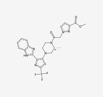 COC(=O)c1ccn(CC(=O)N2CCN(c3sc(C(F)(F)F)nc3-c3nc4ccccc4[nH]3)C[C@H]2C)n1